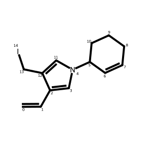 C=Cc1cn(C2C=CCCC2)cc1CI